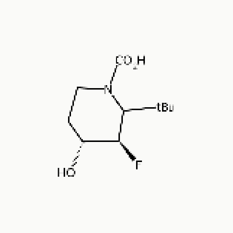 CC(C)(C)C1[C@@H](F)[C@H](O)CCN1C(=O)O